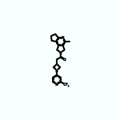 Cc1nc2c(c3c1CN(C(=O)CC1CN(c4ccnc(C(F)(F)F)c4)C1)C3)CCC2